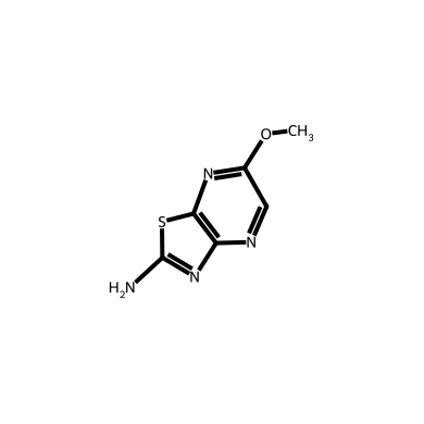 COc1cnc2nc(N)sc2n1